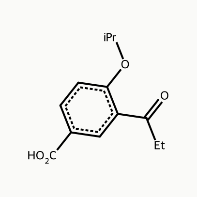 CCC(=O)c1cc(C(=O)O)ccc1OC(C)C